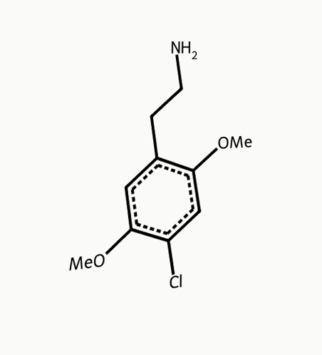 COc1cc(CCN)c(OC)cc1Cl